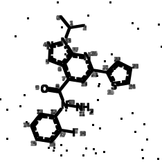 CC(C)n1ncc2c(C(=O)N(N)c3ccccc3F)cc(-c3cccs3)nc21